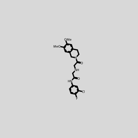 COc1cc2c(cc1OC)CN(C(=O)CNCC(=O)Nc1ccc(F)c(Cl)c1)CC2